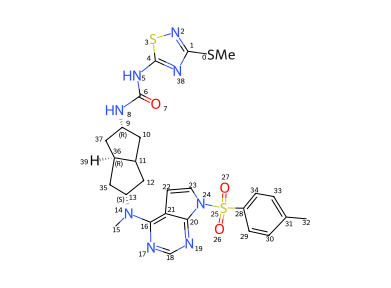 CSc1nsc(NC(=O)N[C@@H]2CC3C[C@H](N(C)c4ncnc5c4ccn5S(=O)(=O)c4ccc(C)cc4)C[C@H]3C2)n1